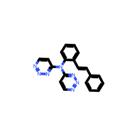 C(=Cc1ccccc1N(c1ccnnn1)c1ccnnn1)c1ccccc1